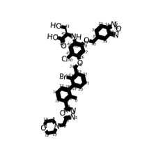 Cc1c(-c2nnc(CN3CCOCC3)o2)cccc1-c1cccc(COc2cc(OCc3ccc4nonc4c3)c(N[C@H](CO)C(=O)O)cc2Cl)c1Br